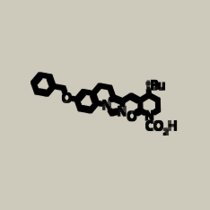 CC(C)(C)C1CCN(C(=O)O)C(=O)C1=Cc1ncn2c1CCc1cc(OCc3ccccc3)ccc1-2